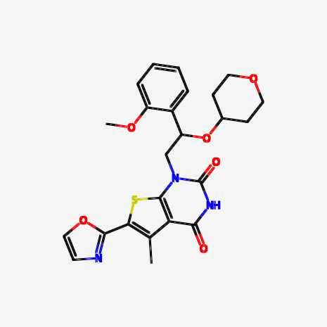 COc1ccccc1C(Cn1c(=O)[nH]c(=O)c2c(C)c(-c3ncco3)sc21)OC1CCOCC1